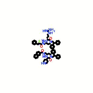 N=C(N)NCCC[C@@H]1N[C@H](CNC(=O)/C(F)=C/c2ccccc2)CCN(CC(c2ccccc2)c2ccccc2)C1=O.O=C(NCC1CCN(CC(c2ccccc2)c2ccccc2)C(=O)C(C2CCNCC2)N1)c1ccc2ccccc2c1